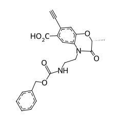 C#Cc1cc2c(cc1C(=O)O)N(CCNC(=O)OCc1ccccc1)C(=O)[C@@H](C)O2